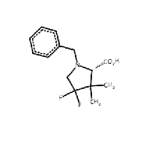 CC1(C)[C@@H](C(=O)O)N(Cc2ccccc2)CC1(F)F